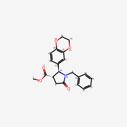 COC(=O)[C@H]1CC(=O)N(Cc2ccccc2)[C@@H]1c1ccc2c(c1)OCCO2